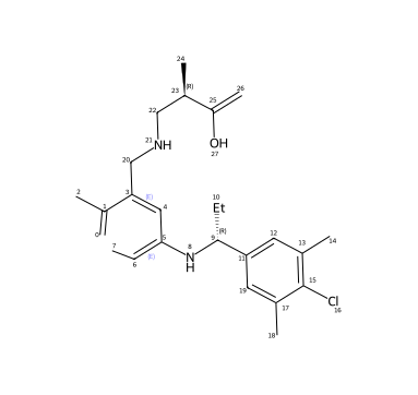 C=C(C)/C(=C\C(=C/C)N[C@H](CC)c1cc(C)c(Cl)c(C)c1)CNC[C@@H](C)C(=C)O